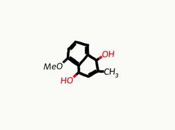 COc1cccc2c1C(O)C=C(C)C2O